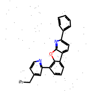 CC(C)Cc1ccnc(-c2cccc3c2oc2nc(-c4ccccc4)ccc23)c1